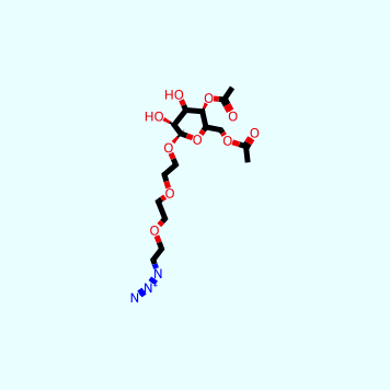 CC(=O)OCC1O[C@@H](OCCOCCOCCN=[N+]=[N-])[C@@H](O)C(O)[C@H]1OC(C)=O